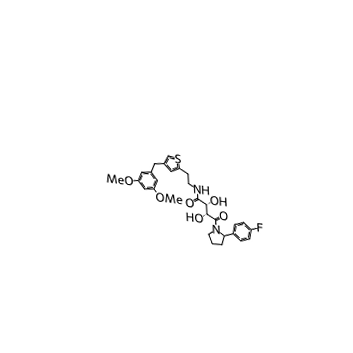 COc1cc(Cc2csc(CCNC(=O)[C@H](O)[C@@H](O)C(=O)N3CCCC3c3ccc(F)cc3)c2)cc(OC)c1